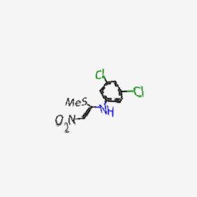 CS/C(=C\[N+](=O)[O-])Nc1cc(Cl)cc(Cl)c1